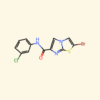 O=C(Nc1cccc(Cl)c1)c1cn2cc(Br)sc2n1